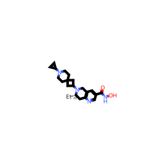 CC[C@H]1Cc2ncc(C(=O)NO)cc2CN1C1CC2(CCN(C3CC3)CC2)C1